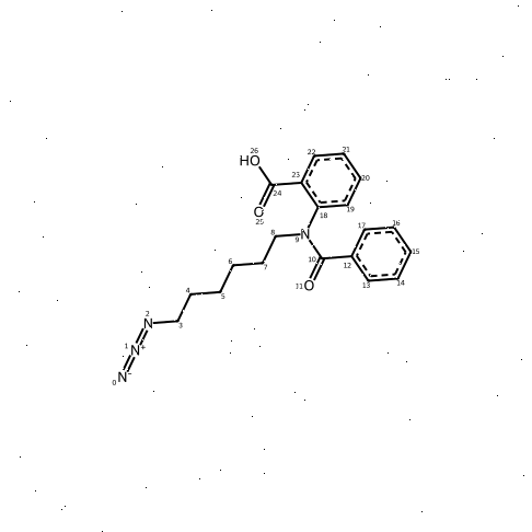 [N-]=[N+]=NCCCCCCN(C(=O)c1ccccc1)c1ccccc1C(=O)O